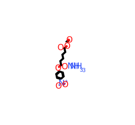 N.N.O=COC(=O)CCCCC(=O)Oc1ccc([N+](=O)[O-])cc1